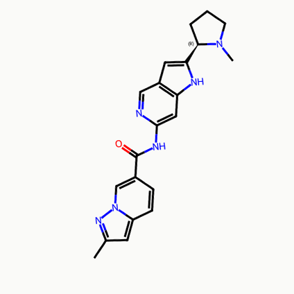 Cc1cc2ccc(C(=O)Nc3cc4[nH]c([C@H]5CCCN5C)cc4cn3)cn2n1